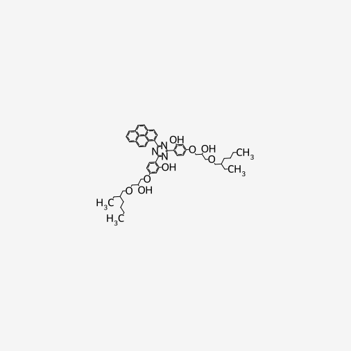 CCCCC(CC)COCC(O)COc1ccc(-c2nc(-c3ccc(OCC(O)COCC(CC)CCCC)cc3O)nc(-c3ccc4ccc5cccc6ccc3c4c56)n2)c(O)c1